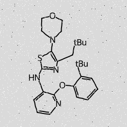 CC(C)(C)Cc1nc(Nc2cccnc2Oc2ccccc2C(C)(C)C)sc1N1CCOCC1